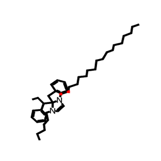 CCCCCCCCCCCCCCCCCCN1C=CN(CCCCCC)C1(Cc1ccccc1)C(CC)c1ccccc1